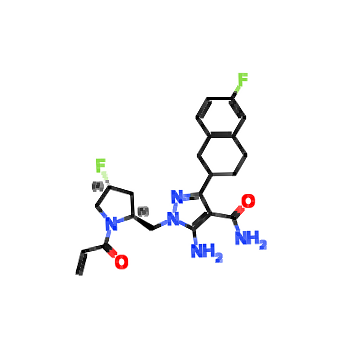 C=CC(=O)N1C[C@H](F)C[C@H]1Cn1nc(C2CCc3cc(F)ccc3C2)c(C(N)=O)c1N